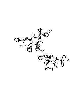 COC(=O)Cc1ccccc1NC(=O)COc1cc(C(=O)OC)cc2cc(Cl)cc(Cl)c12